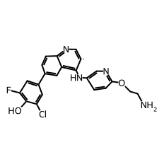 NCCOc1ccc(Nc2[c]cnc3ccc(-c4cc(F)c(O)c(Cl)c4)cc23)cn1